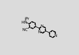 CC(C)Nc1ccc(-c2ncc(-c3ccncc3)cn2)cc1C#N